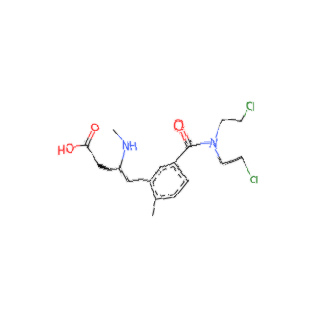 CN[C@H](CC(=O)O)Cc1cc(C(=O)N(CCCl)CCCl)ccc1C